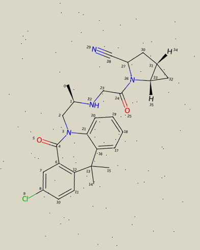 C[C@H](CN1C(=O)c2cc(Cl)ccc2C(C)(C)c2ccccc21)NCC(=O)N1C(C#N)C[C@@H]2C[C@@H]21